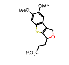 COc1cc2sc3c(c2cc1OC)COC3CCC(=O)O